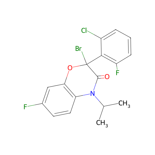 CC(C)N1C(=O)C(Br)(c2c(F)cccc2Cl)Oc2cc(F)ccc21